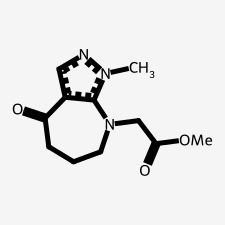 COC(=O)CN1CCCC(=O)c2cnn(C)c21